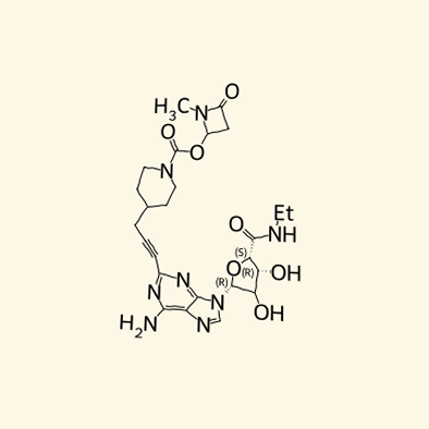 CCNC(=O)[C@H]1O[C@@H](n2cnc3c(N)nc(C#CCC4CCN(C(=O)OC5CC(=O)N5C)CC4)nc32)C(O)[C@H]1O